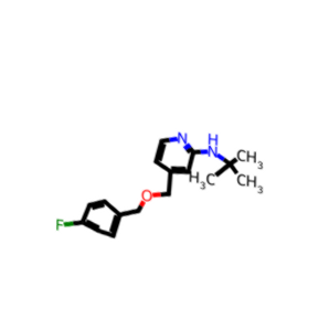 CC(C)(C)Nc1cc(COCc2ccc(F)cc2)ccn1